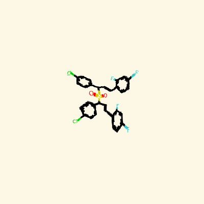 O=S(=O)(C(/C=C/c1ccc(F)cc1F)c1ccc(Cl)cc1)C(/C=C/c1ccc(F)cc1F)c1ccc(Cl)cc1